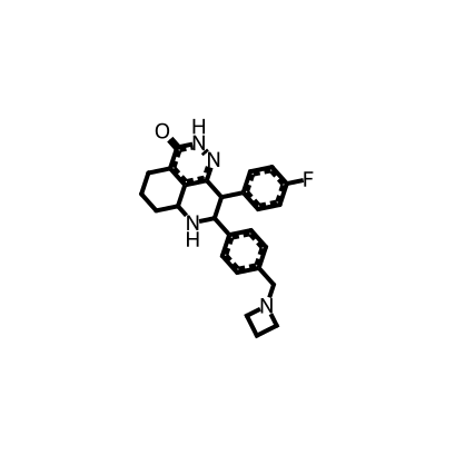 O=c1[nH]nc2c3c1CCCC3NC(c1ccc(CN3CCC3)cc1)C2c1ccc(F)cc1